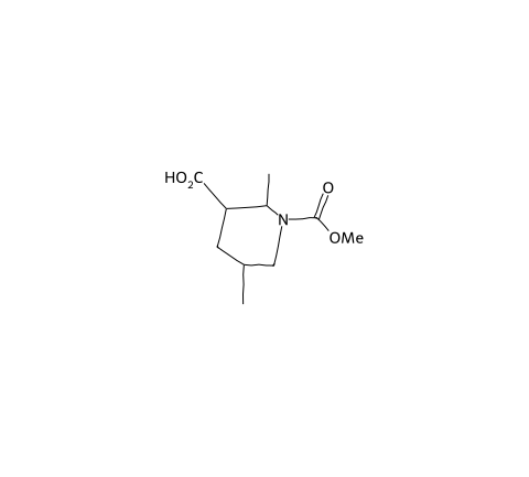 COC(=O)N1CC(C)CC(C(=O)O)C1C